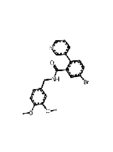 COc1ccc(CNC(=O)c2cc(Br)ccc2-c2cccnc2)cc1OC